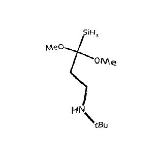 COC([SiH3])(CCNC(C)(C)C)OC